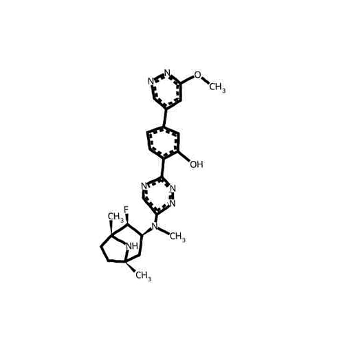 COc1cc(-c2ccc(-c3ncc(N(C)[C@H]4C[C@]5(C)CC[C@@](C)(N5)[C@H]4F)nn3)c(O)c2)cnn1